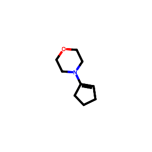 C1=C(N2CCOCC2)CCC1